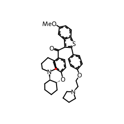 COc1ccc2sc(-c3ccc(OCCN4CCCC4)cc3)c(C(=O)c3ccc(O[C@@H]4CCCC[C@H]4N4CCCCC4)cc3)c2c1